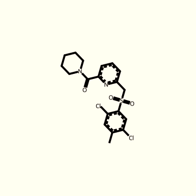 Cc1cc(Cl)c(S(=O)(=O)Cc2cccc(C(=O)N3CCCCC3)n2)cc1Cl